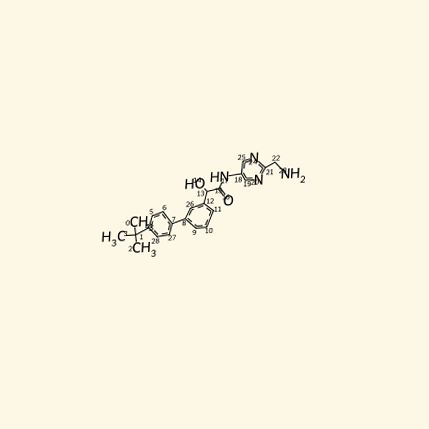 CC(C)(C)c1ccc(-c2cccc(C(O)C(=O)Nc3cnc(CN)nc3)c2)cc1